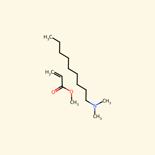 C=CC(=O)OC.CCCCCCCCCN(C)C